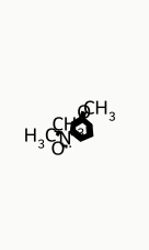 COc1cccc(N([C]=O)C(C)C)c1